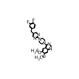 COc1cc2ncnc(N3CCN(c4ncc(Cc5ccc(F)c(F)c5)cn4)CC3)c2cc1OC